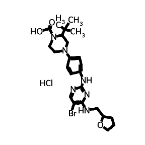 CC(C)(C)C1CN(c2ccc(Nc3ncc(Br)c(NCC4CCCO4)n3)cc2)CCN1C(=O)O.Cl